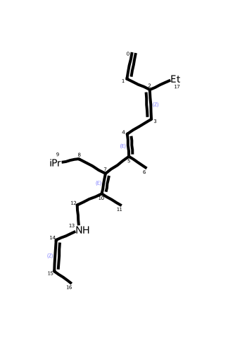 C=C\C(=C/C=C(C)/C(CC(C)C)=C(\C)CN/C=C\C)CC